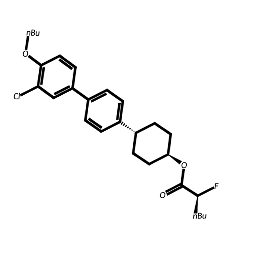 CCCCOc1ccc(-c2ccc([C@H]3CC[C@H](OC(=O)[C@@H](F)CCCC)CC3)cc2)cc1Cl